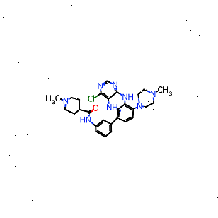 CN1CCC(C(=O)Nc2cccc(-c3ccc(N4CCN(C)CC4)c(Nc4ncnc(Cl)c4N)c3)c2)CC1